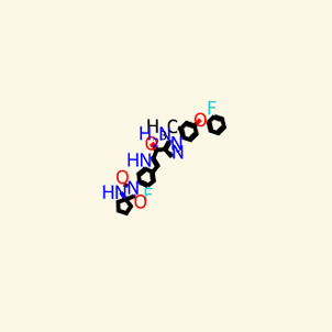 Cc1cc(Oc2ccccc2F)ccc1-n1ncc(C(=O)c2cc3cc(F)c(N4C(=O)NC5(CCCC5)C4=O)cc3[nH]2)c1N